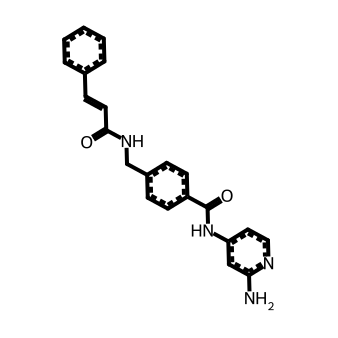 Nc1cc(NC(=O)c2ccc(CNC(=O)/C=C/c3ccccc3)cc2)ccn1